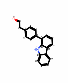 O=CCc1ccc(-c2cccc3c2[nH]c2ccccc23)cc1